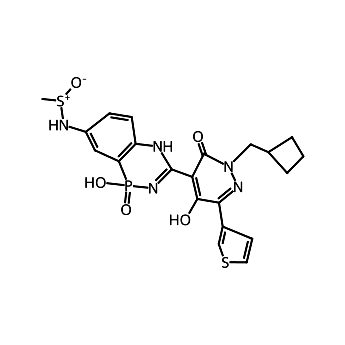 C[S+]([O-])Nc1ccc2c(c1)P(=O)(O)N=C(c1c(O)c(-c3ccsc3)nn(CC3CCC3)c1=O)N2